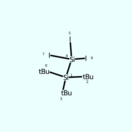 CC(C)(C)[Si](C(C)(C)C)(C(C)(C)C)[Si](I)(I)I